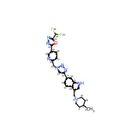 CC1CCN(Cc2c[nH]c3cc(-c4cn(Cc5ccc(-c6nnc(C(F)F)o6)cn5)nn4)ccc23)CC1